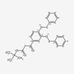 CC(C)(C)OC(=O)CC(=O)c1ccc(OCc2ccccc2)c(OCc2ccccc2)c1